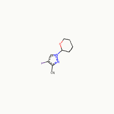 N#Cc1nn(C2CCCCO2)cc1I